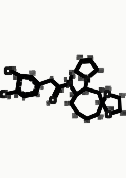 CN(C(=O)Cc1ccc(Cl)c(Cl)c1)C1CCCCC2(CC1N1CC=CC1)OCCO2